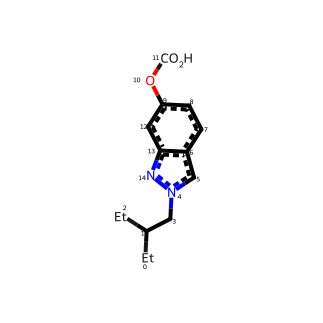 CCC(CC)Cn1cc2ccc(OC(=O)O)cc2n1